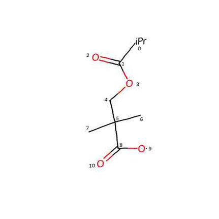 CC(C)C(=O)OCC(C)(C)C([O])=O